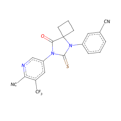 N#Cc1cccc(N2C(=S)N(c3cnc(C#N)c(C(F)(F)F)c3)C(=O)C23CCC3)c1